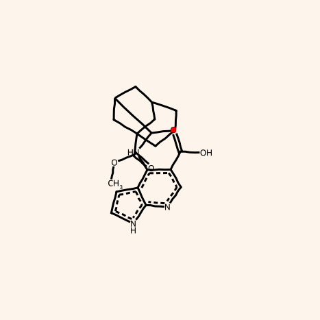 COC(=O)C12CC3CC(C1)C(Nc1c(C(=O)O)cnc4[nH]ccc14)C(C3)C2